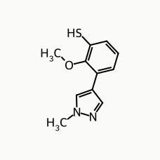 COc1c(S)cccc1-c1cnn(C)c1